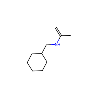 C=C(C)NCC1CCCCC1